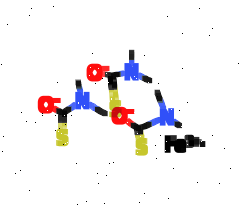 CN(C)C([O-])=S.CN(C)C([O-])=S.CN(C)C([O-])=S.[Fe+3]